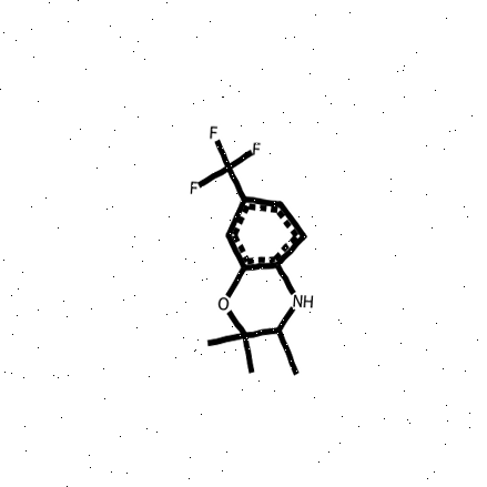 CC1Nc2ccc(C(F)(F)F)cc2OC1(C)C